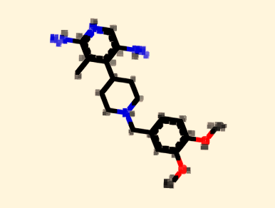 CCOc1cc(CN2CCC(c3c(N)cnc(N)c3C)CC2)ccc1OC(C)C